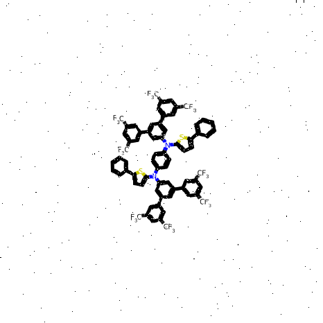 FC(F)(F)c1cc(-c2cc(-c3cc(C(F)(F)F)cc(C(F)(F)F)c3)cc(N(c3ccc(N(c4cc(-c5cc(C(F)(F)F)cc(C(F)(F)F)c5)cc(-c5cc(C(F)(F)F)cc(C(F)(F)F)c5)c4)c4ccc(-c5ccccc5)s4)cc3)c3ccc(-c4ccccc4)s3)c2)cc(C(F)(F)F)c1